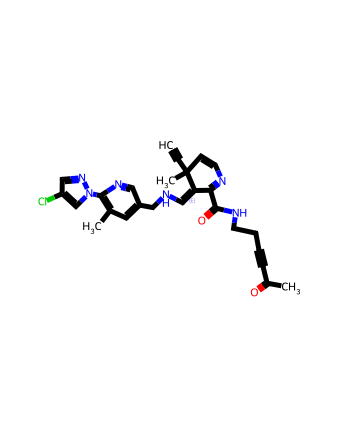 C#CC1(C)C=CN=C(C(=O)NCCC#CC(C)=O)/C1=C/NCc1cnc(-n2cc(Cl)cn2)c(C)c1